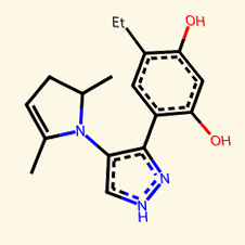 CCc1cc(-c2n[nH]cc2N2C(C)=CCC2C)c(O)cc1O